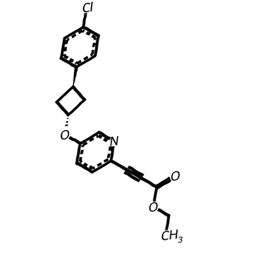 CCOC(=O)C#Cc1ccc(O[C@H]2C[C@H](c3ccc(Cl)cc3)C2)cn1